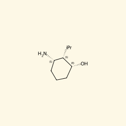 CC(C)[C@@H]1[C@H](O)CCC[C@@H]1N